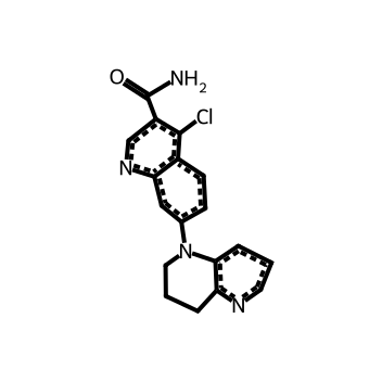 NC(=O)c1cnc2cc(N3CCCc4ncccc43)ccc2c1Cl